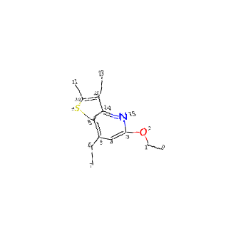 CCOc1cc(CC)c2sc(C)c(C)c2n1